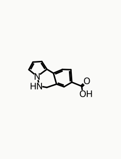 O=C(O)c1ccc2c(c1)CNn1cccc1-2